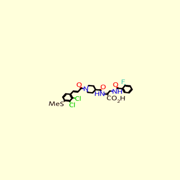 CSc1ccc(C=CC(=O)N2CCC(C(=O)N[C@@H](CNC(=O)c3ccccc3F)C(=O)O)CC2)c(Cl)c1Cl